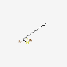 CCCCCCCCCCCCC1=CC(Br)=C[SH]1Br